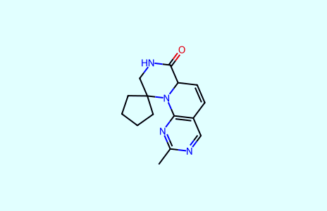 Cc1ncc2c(n1)N1C(C=C2)C(=O)NCC12CCCC2